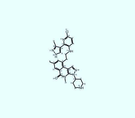 Cc1cc(CCNc2ccc(Cl)nc2-c2c[nH]nc2C)c2c(c1)c(=O)n(C)c1c2cnn1C1CCNCC1